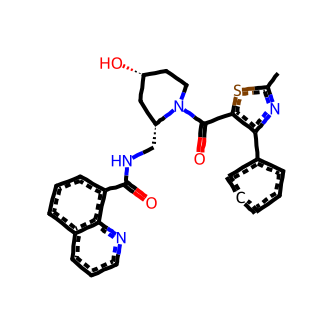 Cc1nc(-c2ccccc2)c(C(=O)N2CC[C@@H](O)C[C@H]2CNC(=O)c2cccc3cccnc23)s1